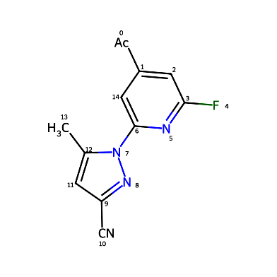 CC(=O)c1cc(F)nc(-n2nc(C#N)cc2C)c1